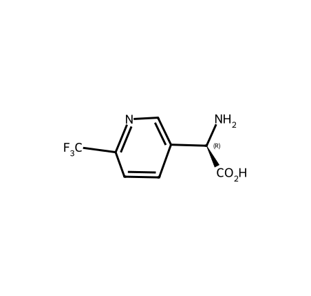 N[C@@H](C(=O)O)c1ccc(C(F)(F)F)nc1